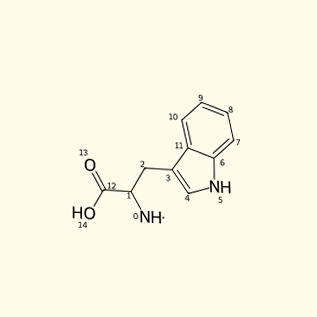 [NH]C(Cc1c[nH]c2ccccc12)C(=O)O